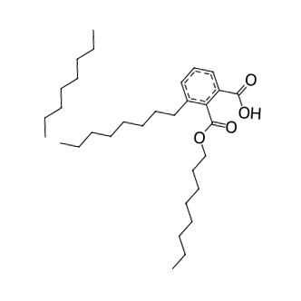 CCCCCCCC.CCCCCCCCOC(=O)c1c(CCCCCCCC)cccc1C(=O)O